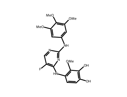 COc1cc(Nc2ncc(F)c(Nc3ccc(O)c(O)c3OC)n2)cc(OC)c1OC